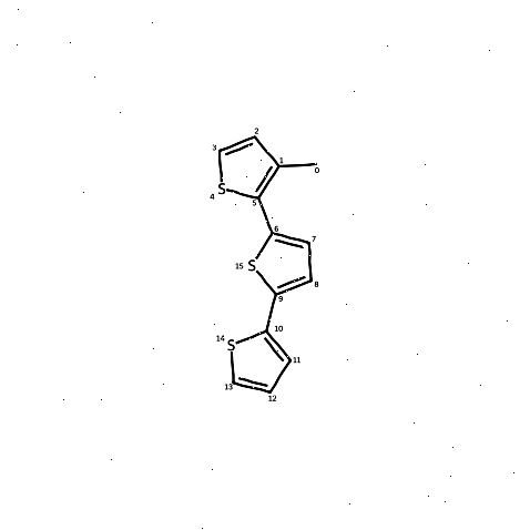 Cc1ccsc1-c1ccc(-c2cccs2)s1